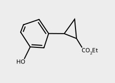 CCOC(=O)C1CC1c1cccc(O)c1